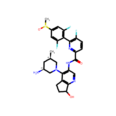 C[C@@H]1C[C@H](N)CN(c2c(NC(=O)c3ccc(F)c(-c4c(F)cc([S+](C)[O-])cc4F)n3)cnc3c2CCC3O)C1